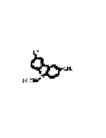 C=Cn1c2ccc(C)cc2c2cc(Br)ccc21